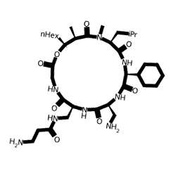 CCCCCC[C@@H]1OC(=O)CNC(=O)[C@H](CNC(=O)CCN)NC(=O)[C@H](CN)NC(=O)[C@H](C2CCCCC2)NC(=O)[C@H](CC(C)C)N(C)C(=O)[C@@H]1C